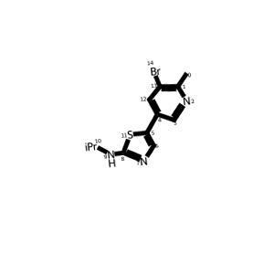 Cc1ncc(-c2cnc(NC(C)C)s2)cc1Br